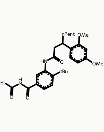 CCCCCC(CC(=O)Nc1cc(C(=O)NC(=O)CC)ccc1C(C)(C)C)c1ccc(OC)cc1OC